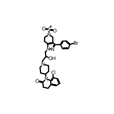 CS(=O)(=O)N1CCc2c(c(-c3ccc(Br)cc3)nn2CC(O)CN2CCC(N3C(=O)CCc4cccc(Cl)c43)CC2)C1